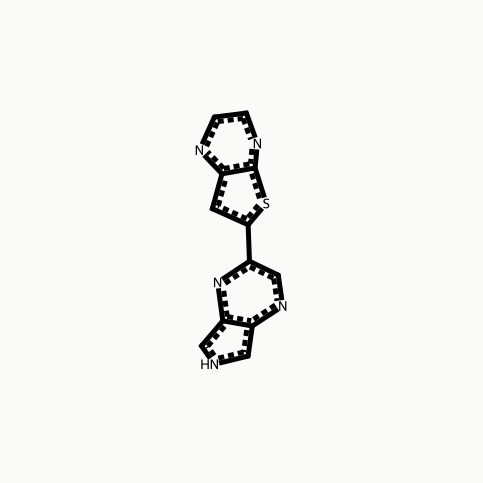 c1cnc2sc(-c3cnc4c[nH]cc4n3)cc2n1